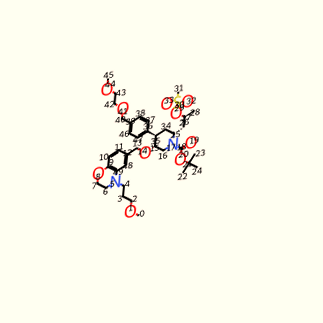 COCCCN1CCOc2ccc(CO[C@H]3CN(C(=O)OC(C)(C)C)[C@@H](C[C@H](C)OS(C)(=O)=O)C[C@@H]3c3ccc(COCCOC)cc3)cc21